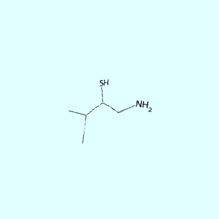 CC(C)C(S)CN